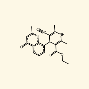 [C-]#[N+]C1=C(C)NC(C)=C(C(=O)OCC)C1c1cccc2c(=O)cc(C)oc12